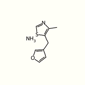 Cc1ncsc1Cc1ccoc1.N